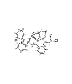 Clc1cc2c3c(ccc4oc5cc(-c6cccc7sc8ccccc8c67)cc(c5c43)-c3ccccc3-2)c1